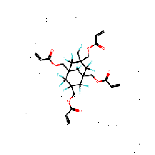 C=CC(=O)OCC1(F)C(F)(F)C2(COC(=O)C=C)C(F)(F)C(CF)(COC(=O)C=C)C(F)(F)C(COC(=O)C=C)(C1(F)F)C2(F)F